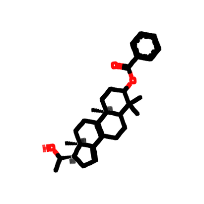 CC(O)[C@H]1CC=C2C3=C(CC[C@@]21C)[C@@]1(C)CCC(OC(=O)c2ccccc2)C(C)(C)C1CC3